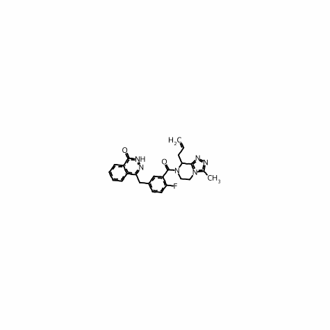 C=CCC1c2nnc(C)n2CCN1C(=O)c1cc(Cc2n[nH]c(=O)c3ccccc23)ccc1F